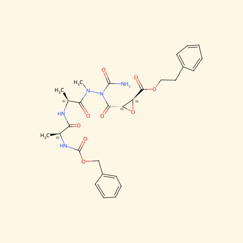 C[C@H](NC(=O)OCc1ccccc1)C(=O)N[C@@H](C)C(=O)N(C)N(C(N)=O)C(=O)[C@H]1O[C@@H]1C(=O)OCCc1ccccc1